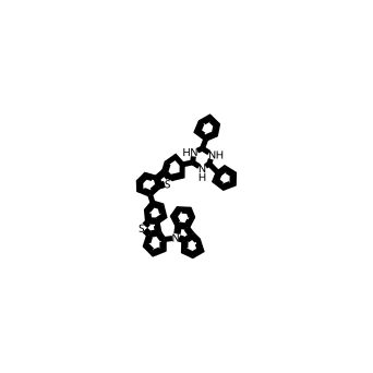 C1=c2sc3c(-c4ccc5c(c4)sc4cccc(-n6c7ccccc7c7ccccc76)c45)cccc3c2=CCC1C1NC(c2ccccc2)NC(c2ccccc2)N1